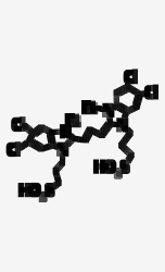 CCN1/C(=C\C=C\C2N(CC)c3cc(Cl)c(Cl)cc3N2CCCS(=O)(=O)O)N(CCCS(=O)(=O)O)c2cc(Cl)c(Cl)cc21